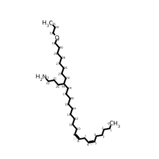 CCCCC/C=C\C/C=C\CCCCCCCCCC(CCCN)CCCCCCCCOCCC